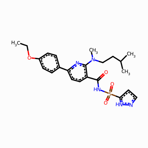 CCOc1ccc(-c2ccc(C(=O)NS(=O)(=O)c3ccn[nH]3)c(N(C)CCC(C)C)n2)cc1